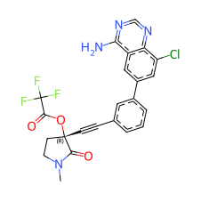 CN1CC[C@](C#Cc2cccc(-c3cc(Cl)c4ncnc(N)c4c3)c2)(OC(=O)C(F)(F)F)C1=O